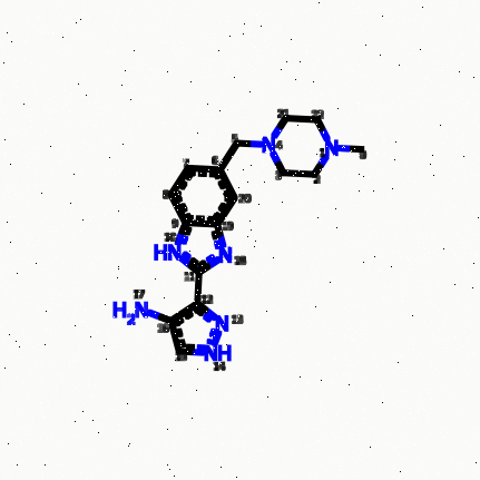 CN1CCN(Cc2ccc3[nH]c(-c4n[nH]cc4N)nc3c2)CC1